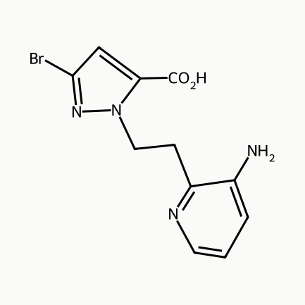 Nc1cccnc1CCn1nc(Br)cc1C(=O)O